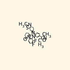 Cc1nc2c(s1)C[C@H](n1c([C@H]3CCCC(=O)N3c3ccc(F)c(F)c3)nc3cc(-c4c(C)noc4C)ccc31)CC2